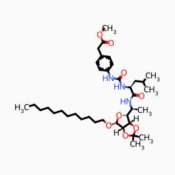 CCCCCCCCCCCCO[C@H]1O[C@H]([C@H](C)NC(=O)[C@H](CC(C)C)NC(=O)Nc2ccc(CC(=O)OC)cc2)[C@@H]2OC(C)(C)O[C@H]12